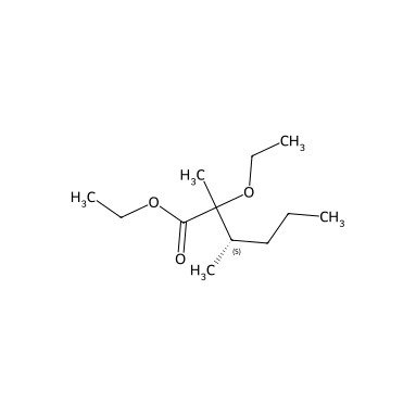 CCC[C@H](C)C(C)(OCC)C(=O)OCC